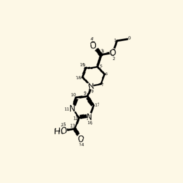 CCOC(=O)C1CCN(c2cnc(C(=O)O)nc2)CC1